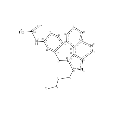 CCCCc1nc2cnc3ccccc3c2n1Cc1cccc(NC(=O)O)c1